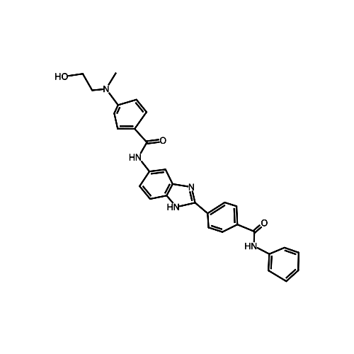 CN(CCO)c1ccc(C(=O)Nc2ccc3[nH]c(-c4ccc(C(=O)Nc5ccccc5)cc4)nc3c2)cc1